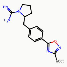 CCCCCCCCc1noc(-c2ccc(C[C@@H]3CCCN3C(=N)N)cc2)n1